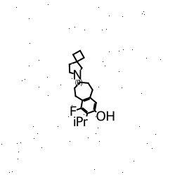 CC(C)c1c(O)cc2c(c1F)CC[C@H](N1CCC3(CCC3)C1)CC2